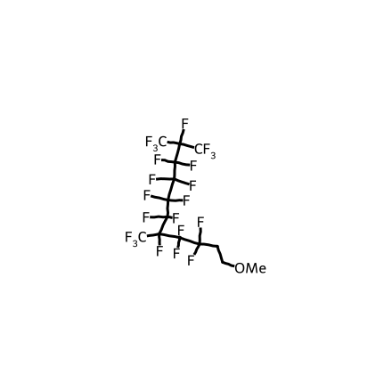 COCCC(F)(F)C(F)(F)C(F)(C(F)(F)F)C(F)(F)C(F)(F)C(F)(F)C(F)(F)C(F)(C(F)(F)F)C(F)(F)F